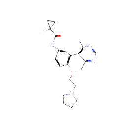 Cc1ncnc(C)c1-c1cc(NC(=O)C2(O)CC2)ccc1OCCN1CCCC1